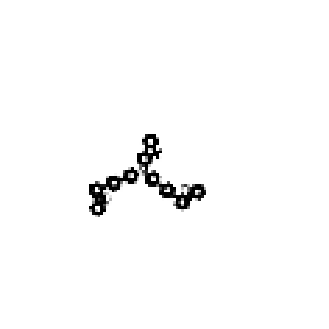 CC1(C)c2ccccc2-c2ccc(N(c3ccc(-c4ccc(-c5cccc6c5oc5ccccc56)cc4)cc3)c3ccc(-c4ccc(-c5cccc6c5oc5ccccc56)cc4)cc3)cc21